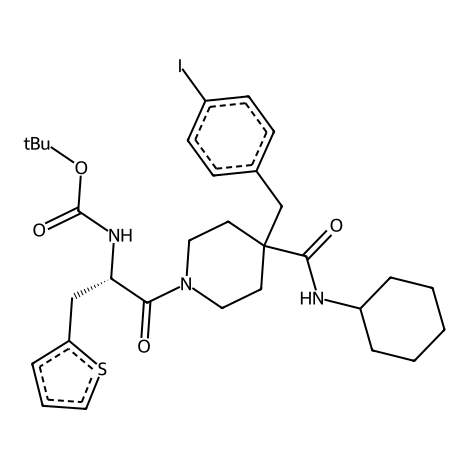 CC(C)(C)OC(=O)N[C@@H](Cc1cccs1)C(=O)N1CCC(Cc2ccc(I)cc2)(C(=O)NC2CCCCC2)CC1